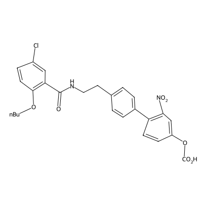 CCCCOc1ccc(Cl)cc1C(=O)NCCc1ccc(-c2ccc(OC(=O)O)cc2[N+](=O)[O-])cc1